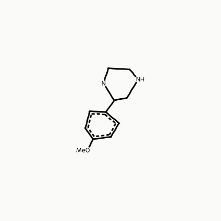 COc1ccc(C2CNCC[N]2)cc1